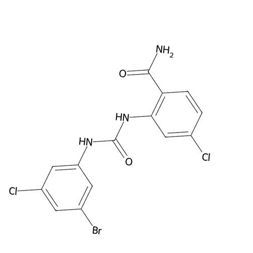 NC(=O)c1ccc(Cl)cc1NC(=O)Nc1cc(Cl)cc(Br)c1